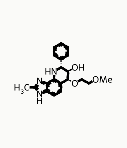 COCCO[C@@H]1c2ccc3[nH]c(C)nc3c2N[C@H](c2ccccc2)[C@H]1O